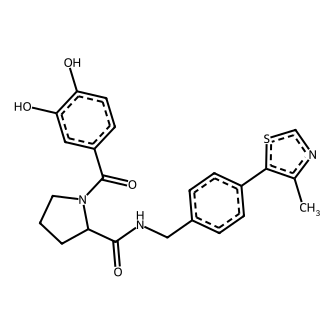 Cc1ncsc1-c1ccc(CNC(=O)C2CCCN2C(=O)c2ccc(O)c(O)c2)cc1